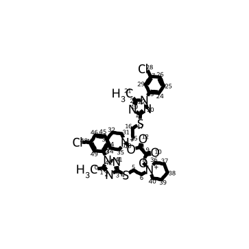 Cc1nc(SCC[N+]2(OC(=O)C(=O)O[N+]3(CCSc4nc(C)n(-c5cccc(Cl)c5)n4)CCCCC3)CCCCC2)nn1-c1cccc(Cl)c1